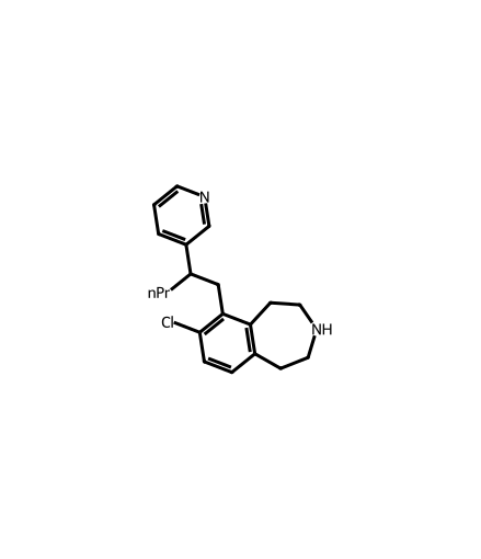 CCCC(Cc1c(Cl)ccc2c1CCNCC2)c1cccnc1